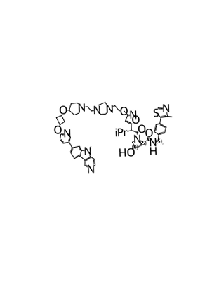 Cc1ncsc1-c1ccc([C@H](C)NC(=O)[C@@H]2C[C@@H](O)CN2C(=O)C(c2cc(OCCN3CCN(CCN4CCC(OC5CC(Oc6ccc(-c7ccc8c9cnccc9n(C)c8c7)cn6)C5)CC4)CC3)no2)C(C)C)cc1